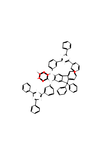 CC(C)(C)c1ccc(N(c2cccc(-c3nc(-c4ccccc4)nc(-c4ccccc4)n3)c2)c2cc3c(cc2N(c2ccc(C(C)(C)C)cc2)c2cccc(-c4nc(-c5ccccc5)nc(-c5ccccc5)n4)c2)C(c2ccccc2)(c2ccccc2)c2ccccc2-3)cc1